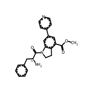 COC(=O)c1cc(-c2ccncc2)cc2c1CCN2C(=O)[C@@H](N)Cc1ccccc1